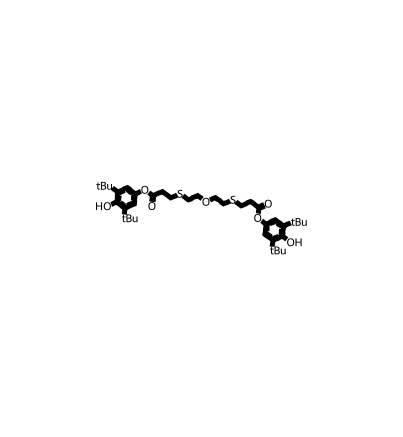 CC(C)(C)c1cc(OC(=O)CCSCCOCCSCCC(=O)Oc2cc(C(C)(C)C)c(O)c(C(C)(C)C)c2)cc(C(C)(C)C)c1O